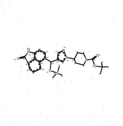 CC(C)(C)OC(=O)N1CCC(n2cc(C(O[Si](C)(C)C)c3ccc4c5c(cccc35)C(=O)N4)cn2)CC1